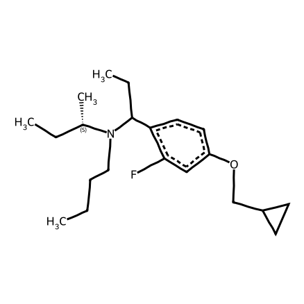 CCCCN(C(CC)c1ccc(OCC2CC2)cc1F)[C@@H](C)CC